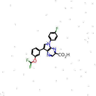 O=C(O)c1cnc2c(-c3cccc(OC(F)F)c3)cn(-c3ccc(F)cc3)c2n1